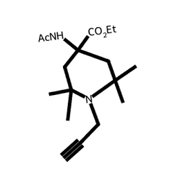 C#CCN1C(C)(C)CC(NC(C)=O)(C(=O)OCC)CC1(C)C